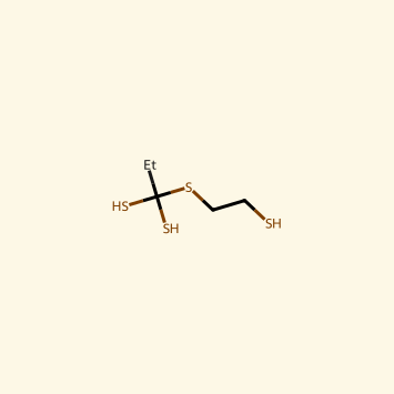 CCC(S)(S)SCCS